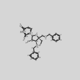 O=c1ccn([C@@H]2O[C@](CF)(COCc3ccccc3)[C@@H](OCc3ccccc3)[C@H]2F)c(=S)[nH]1